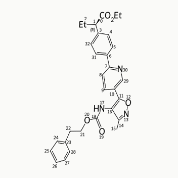 CCOC(=O)[C@H](CC)c1ccc(-c2ccc(-c3onc(C)c3NC(=O)OCCc3ccccc3)cn2)cc1